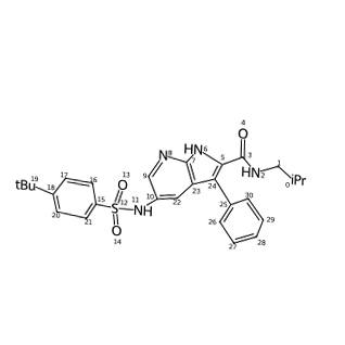 CC(C)CNC(=O)c1[nH]c2ncc(NS(=O)(=O)c3ccc(C(C)(C)C)cc3)cc2c1-c1ccccc1